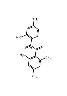 Cc1ccc([PH](=O)C(=O)c2c(C)cc(C)cc2C)c(C)c1